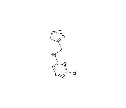 Clc1cncc(NCc2ccco2)n1